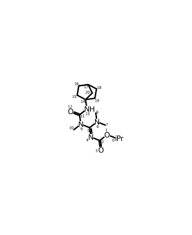 CC(C)OC(=O)N=C(N(C)C)N(C)C(=O)NC12CCC(CC1)C2